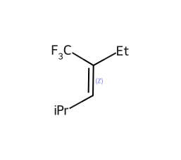 CC/C(=C/C(C)C)C(F)(F)F